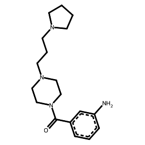 Nc1cccc(C(=O)N2CCN(CCCN3CCCC3)CC2)c1